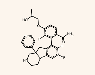 CC(O)COc1ccc(C(N)=O)c(-c2c(Cl)c(F)cc3c2CC2(c4ccccc4)CNCCN32)c1F